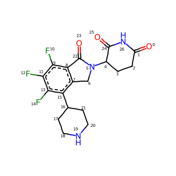 O=C1CCC(N2Cc3c(c(F)c(F)c(F)c3C3CCNCC3)C2=O)C(=O)N1